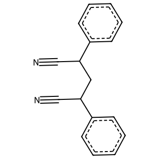 N#CC(CC(C#N)c1ccccc1)c1ccccc1